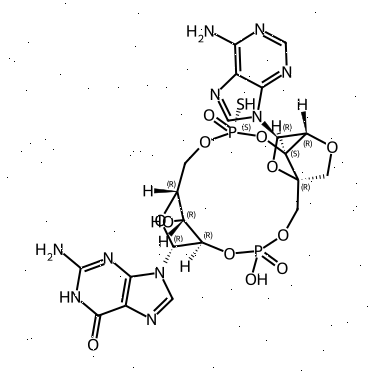 Nc1nc2c(ncn2[C@@H]2O[C@@H]3CO[P@](=O)(S)O[C@H]4[C@H]5OC[C@]4(COP(=O)(O)O[C@@H]2[C@@H]3O)O[C@H]5n2cnc3c(N)ncnc32)c(=O)[nH]1